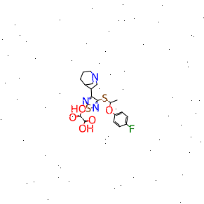 CC(Oc1ccc(F)cc1)Sc1nsnc1C1CN2CCCC1C2.O=C(O)C(=O)O